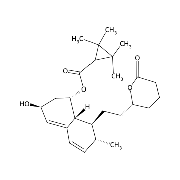 C[C@@H]1C=CC2=C[C@@H](O)C[C@H](OC(=O)C3C(C)(C)C3(C)C)[C@@H]2[C@H]1CC[C@H]1CCCC(=O)O1